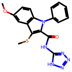 COc1ccc2c(c1)c(SC)c(C(=O)Nc1nnn[nH]1)n2-c1ccccc1